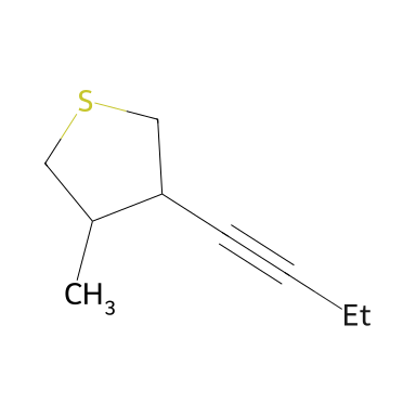 CCC#CC1CSCC1C